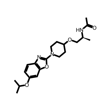 CC(=O)N[C@@H](C)COC1CCN(c2nc3ccc(OC(C)C)cc3o2)CC1